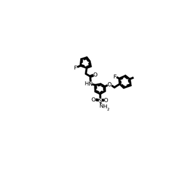 Cc1ccc(COc2cc(NC(=O)Cc3ccccc3F)cc(S(N)(=O)=O)c2)c(F)c1